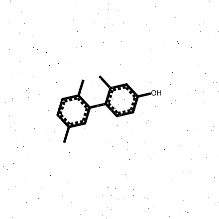 Cc1ccc(C)c(-c2ccc(O)cc2C)c1